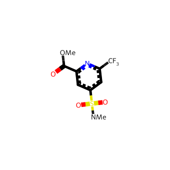 CNS(=O)(=O)c1cc(C(=O)OC)nc(C(F)(F)F)c1